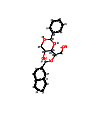 OC[C@@H](OCc1ccc2ccccc2c1)[C@@H]1OC(c2ccccc2)OCC1O